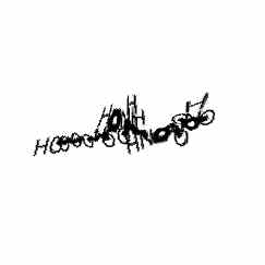 O=C1CCC(N2Cc3cc(NCCNC(=O)Nc4cccc(C(=O)NCCOCCOCCOCO)c4)ccc3C2=O)C(=O)N1